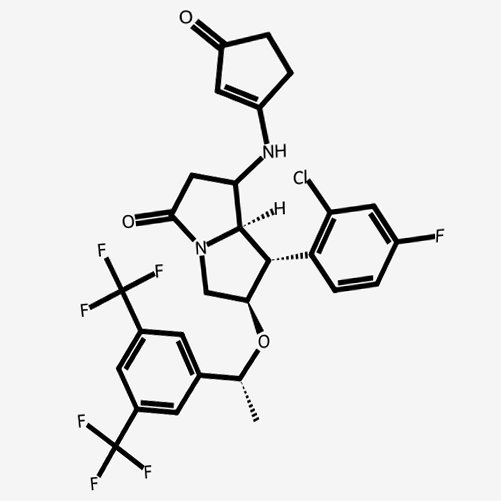 C[C@@H](O[C@H]1CN2C(=O)CC(NC3=CC(=O)CC3)[C@H]2[C@@H]1c1ccc(F)cc1Cl)c1cc(C(F)(F)F)cc(C(F)(F)F)c1